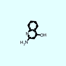 Nc1cc(O)c2ccccc2n1